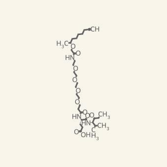 C#CCCCCCC(C)OCC(=O)NCCOCCOCCOCCOCCC(=O)N[C@@H](CCC(=O)O)C(=O)N[C@H](C(=O)CC)C(C)C